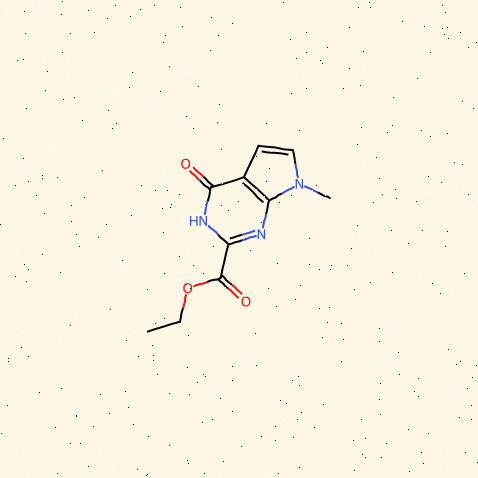 CCOC(=O)c1nc2c(ccn2C)c(=O)[nH]1